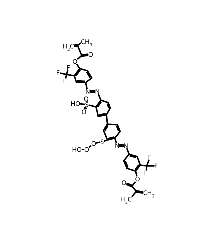 C=C(C)C(=O)Oc1ccc(/N=N/c2ccc(-c3ccc(/N=N/c4ccc(OC(=O)C(=C)C)c(C(F)(F)F)c4)c(S(=O)(=O)O)c3)cc2SOOO)cc1C(F)(F)F